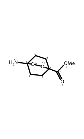 COC(=O)C12CCC(N)(CC1)CO2